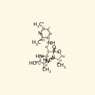 Cc1ccc(NCC(c2nc(C)c(O)[nH]2)P2(=O)OC[C@H](C)N2C)c(C)n1